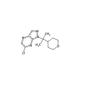 CC(C)(C1CCOCC1)n1ncc2ncc(Cl)nc21